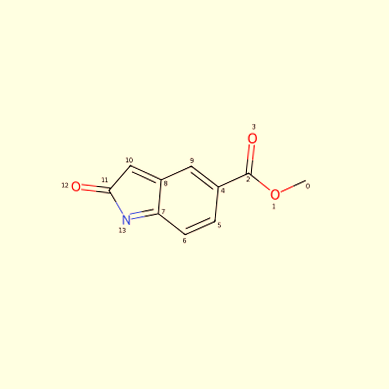 COC(=O)c1ccc2c(c1)=CC(=O)N=2